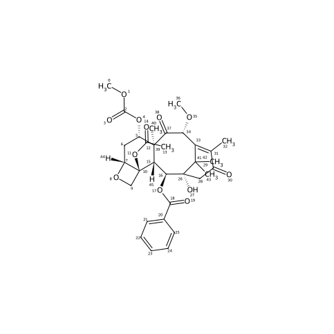 COC(=O)O[C@H]1C[C@H]2OC[C@@]2(OC(C)=O)[C@H]2[C@H](OC(=O)c3ccccc3)[C@]3(O)CC(=O)C(C)=C([C@@H](OC)C(=O)[C@]12C)C3(C)C